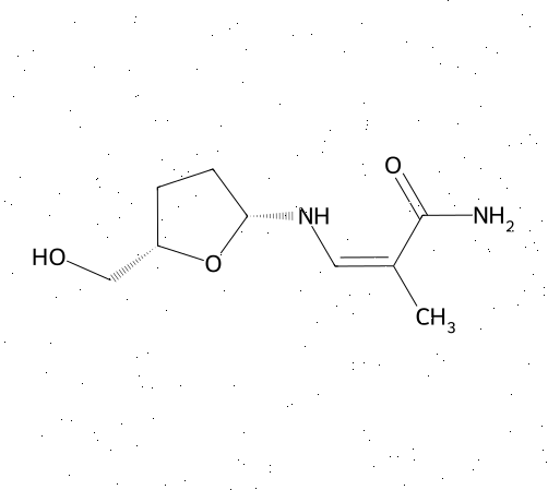 C/C(=C/N[C@H]1CC[C@@H](CO)O1)C(N)=O